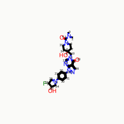 CN(C)C(=O)N1CCC(O)(Cn2cnc3c(cnn3-c3ccc(N4C[C@@H](O)[C@H](F)C4)cc3)c2=O)CC1